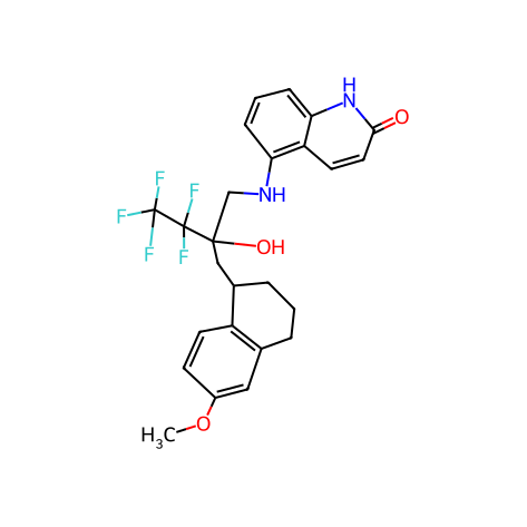 COc1ccc2c(c1)CCCC2CC(O)(CNc1cccc2[nH]c(=O)ccc12)C(F)(F)C(F)(F)F